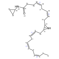 CC/C=C\C/C=C\C/C=C\CC1NC1C/C=C\C/C=C\CCC(=O)NC1CC1